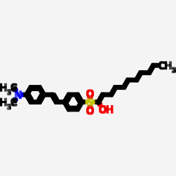 CCCCCCCCCCC(O)S(=O)(=O)c1ccc(C=Cc2ccc(N(C)C)cc2)cc1